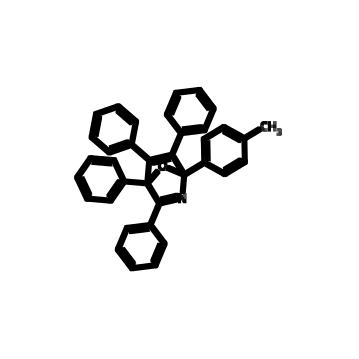 Cc1ccc(C23N=C(c4ccccc4)C(c4ccccc4)(O2)C(c2ccccc2)=C3c2ccccc2)cc1